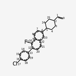 C=CC1CCC(c2ccc3c(F)c(-c4ccc(Cl)cc4)ccc3c2)CC1